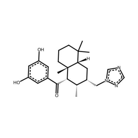 C[C@H]1[C@@H](Cn2cncn2)C[C@H]2C(C)(C)CCC[C@@]2(C)[C@H]1C(=O)c1cc(O)cc(O)c1